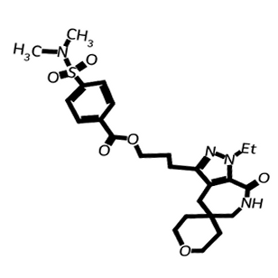 CCn1nc(CCCOC(=O)c2ccc(S(=O)(=O)N(C)C)cc2)c2c1C(=O)NCC1(CCOCC1)C2